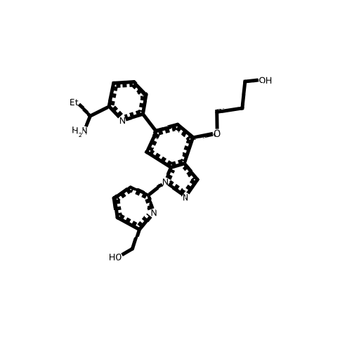 CCC(N)c1cccc(-c2cc(OCCCO)c3cnn(-c4cccc(CO)n4)c3c2)n1